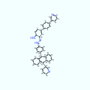 N=C1C=CC(c2ccc(-c3cccnc3)cc2)=C/C1=N/Nc1ccc(-c2c3ccccc3c(-c3cccnc3)c3ccccc23)cc1